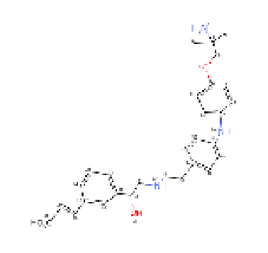 CC(C)(N)COc1ccc(Nc2ccc(CCNC[C@H](O)c3cccc(/C=C/C(=O)O)c3)cc2)cc1